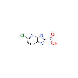 O=C(O)C1=NC2N=C(Cl)C=CC2=N1